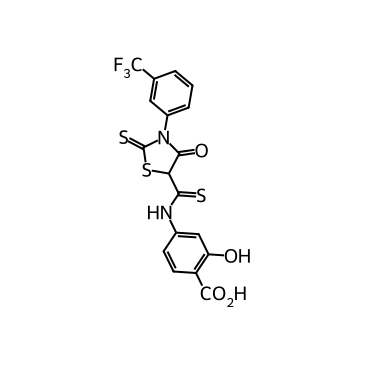 O=C(O)c1ccc(NC(=S)C2SC(=S)N(c3cccc(C(F)(F)F)c3)C2=O)cc1O